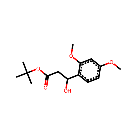 COc1ccc(C(O)CC(=O)OC(C)(C)C)c(OC)c1